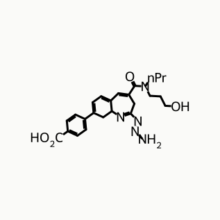 CCCN(CCCO)C(=O)C1=CC2=CC=C(c3ccc(C(=O)O)cc3)CC2N=C(N=NN)C1